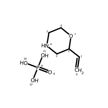 C=CC1CNCCO1.O=P(O)(O)O